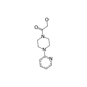 [O]CC(=O)N1CCN(c2ccccn2)CC1